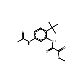 COC(=O)C(=O)Nc1cc(NC(C)=O)ccc1C(C)(C)C